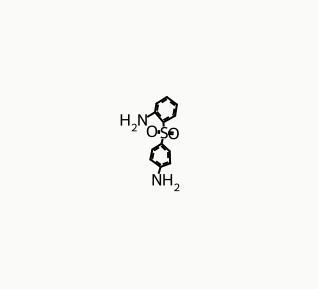 Nc1ccc(S(=O)(=O)c2ccccc2N)cc1